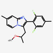 CCCOC(C)Cc1c(-c2c(F)cc(C)cc2F)nc2cc(C)ccn12